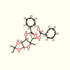 CC1(C)OC2OC(C)(COC(=O)c3ccccc3)C(OC(=O)c3ccccc3)C2O1